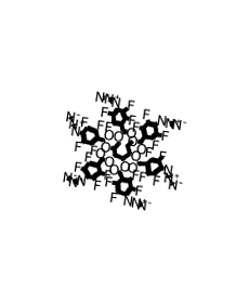 [N-]=[N+]=Nc1c(F)c(F)c(C(=O)OCC(OC(=O)c2c(F)c(F)c(N=[N+]=[N-])c(F)c2F)C(OC(=O)c2c(F)c(F)c(N=[N+]=[N-])c(F)c2F)C(OC(=O)c2c(F)c(F)c(N=[N+]=[N-])c(F)c2F)C(COC(=O)c2c(F)c(F)c(N=[N+]=[N-])c(F)c2F)OC(=O)c2c(F)c(F)c(N=[N+]=[N-])c(F)c2F)c(F)c1F